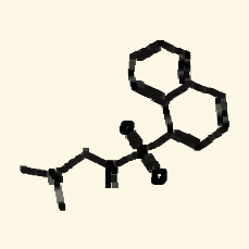 CN(C)[CH]NS(=O)(=O)c1cccc2ccccc12